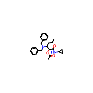 CCCC(C(OC(C)=O)C(=O)NC1CC1)N(Cc1ccccc1)Cc1ccccc1